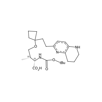 C[C@H](COC1(CCc2ccc3c(n2)CCCN3)CCC1)[C@H](NC(=O)OC(C)(C)C)C(=O)O